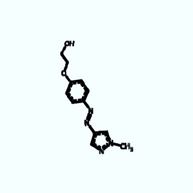 Cn1cc(/N=N/c2ccc(OCCO)cc2)cn1